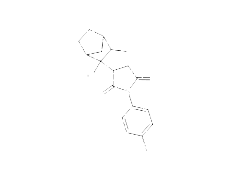 CCCC1(C2CC(=O)N(c3ccc(C)cc3)C2=O)C2CCC(C2)C1C